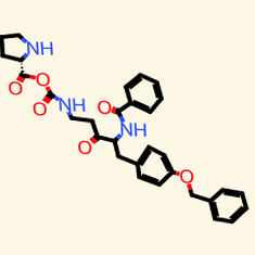 O=C(NCCC(=O)C(Cc1ccc(OCc2ccccc2)cc1)NC(=O)c1ccccc1)OC(=O)[C@@H]1CCCN1